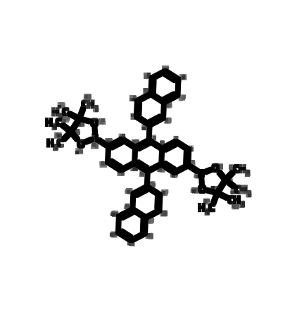 CC1(C)OB(c2ccc3c(-c4ccc5ccccc5c4)c4cc(B5OC(C)(C)C(C)(C)O5)ccc4c(-c4ccc5ccccc5c4)c3c2)OC1(C)C